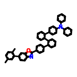 Cc1ccc(C)c(-c2ccc3nc(-c4ccc(-c5ccccc5-c5ccccc5-c5ccc(N(c6ccccc6)c6ccccc6)cc5)cc4)oc3c2)c1